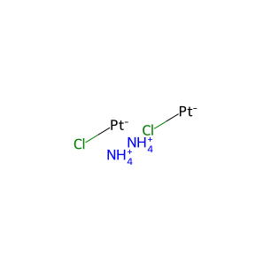 [Cl][Pt-].[Cl][Pt-].[NH4+].[NH4+]